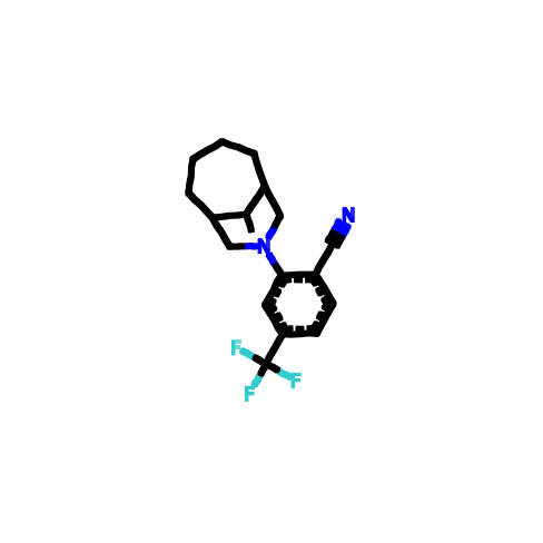 CC1C2CCCCC1CN(c1cc(C(F)(F)F)ccc1C#N)C2